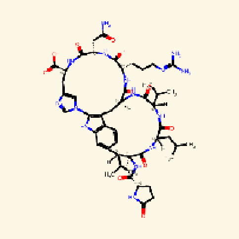 CC(C)C[C@@H]1NC(=O)[C@@H](NC(=O)[C@@H]2CCC(=O)N2)[C@H](C(C)C)c2ccc3c4c([nH]c3c2)-n2cnc(c2)C[C@@H](C(=O)O)NC(=O)[C@H](CC(N)=O)NC(=O)[C@H](CCCN=C(N)N)NC(=O)[C@H](C4)NC(=O)[C@H](C(C)C)NC1=O